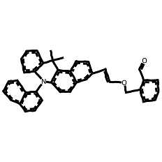 CC1(C)c2ccccc2N(c2cccc3ccccc23)c2ccc3cc(C=COCc4ccccc4C=O)ccc3c21